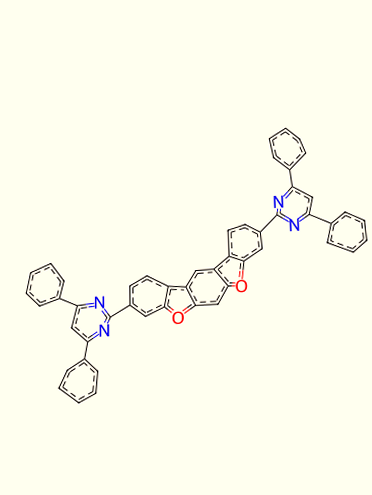 c1ccc(-c2cc(-c3ccccc3)nc(-c3ccc4c(c3)oc3cc5oc6cc(-c7nc(-c8ccccc8)cc(-c8ccccc8)n7)ccc6c5cc34)n2)cc1